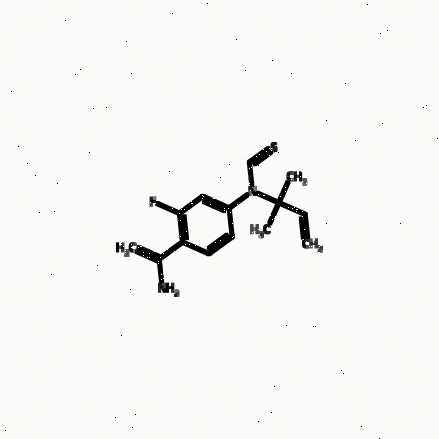 C=CC(C)(C)N(C=S)c1ccc(C(=C)N)c(F)c1